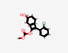 COC(=O)OC1=C(c2ccccc2Cl)c2ccc(O)cc21